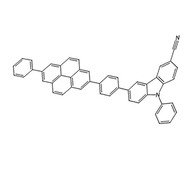 N#Cc1ccc2c(c1)c1cc(-c3ccc(-c4cc5ccc6cc(-c7ccccc7)cc7ccc(c4)c5c67)cc3)ccc1n2-c1ccccc1